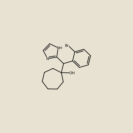 OC1(C(c2ncc[nH]2)c2ccccc2Br)CCCCCC1